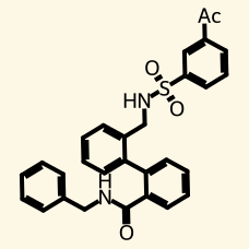 CC(=O)c1cccc(S(=O)(=O)NCc2ccccc2-c2ccccc2C(=O)NCc2ccccc2)c1